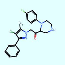 O=C(Cn1nc(-c2ccccc2)c(Cl)c1C(F)(F)F)C1CNCCN1c1ccc(F)cc1